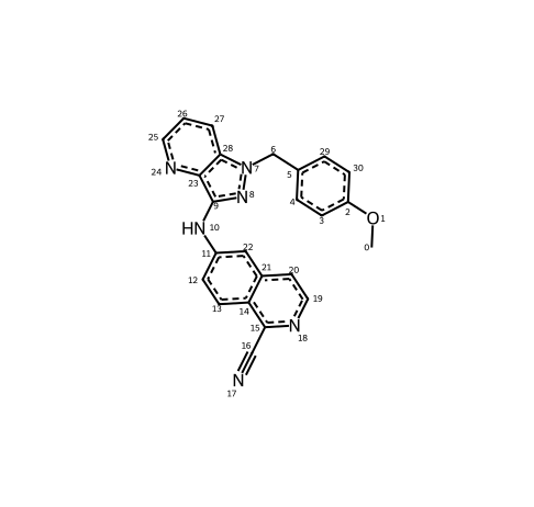 COc1ccc(Cn2nc(Nc3ccc4c(C#N)nccc4c3)c3ncccc32)cc1